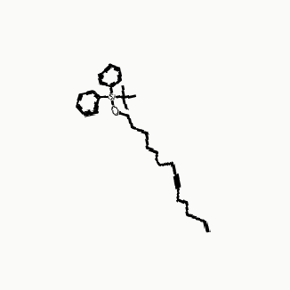 CCCCCC#CCCCCCCCO[Si](c1ccccc1)(c1ccccc1)C(C)(C)C